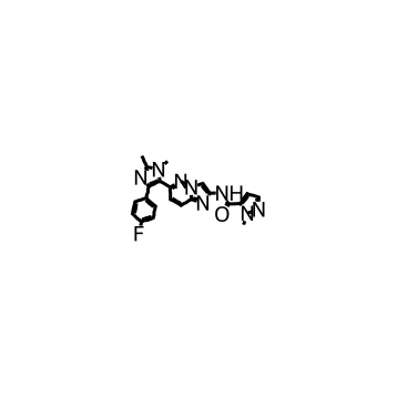 Cc1nc(-c2ccc(F)cc2)c(-c2ccc3nc(NC(=O)c4ccnn4C)cn3n2)n1C